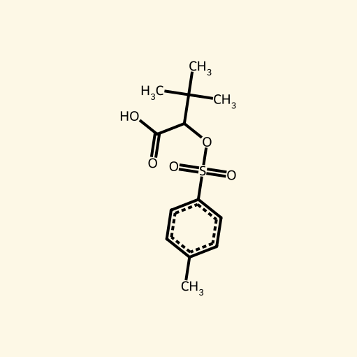 Cc1ccc(S(=O)(=O)OC(C(=O)O)C(C)(C)C)cc1